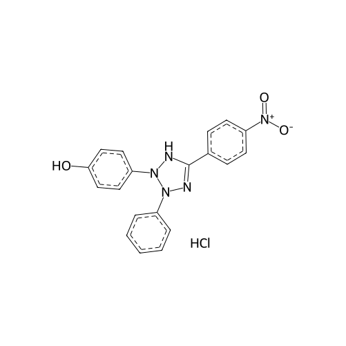 Cl.O=[N+]([O-])c1ccc(C2=NN(c3ccccc3)N(c3ccc(O)cc3)N2)cc1